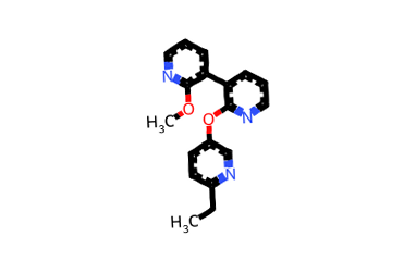 CCc1ccc(Oc2ncccc2-c2cccnc2OC)cn1